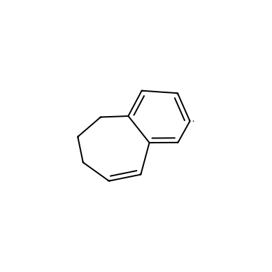 [c]1ccc2c(c1)C=CCCC2